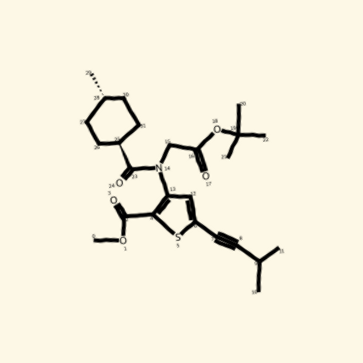 COC(=O)c1sc(C#CC(C)C)cc1N(CC(=O)OC(C)(C)C)C(=O)[C@H]1CC[C@H](C)CC1